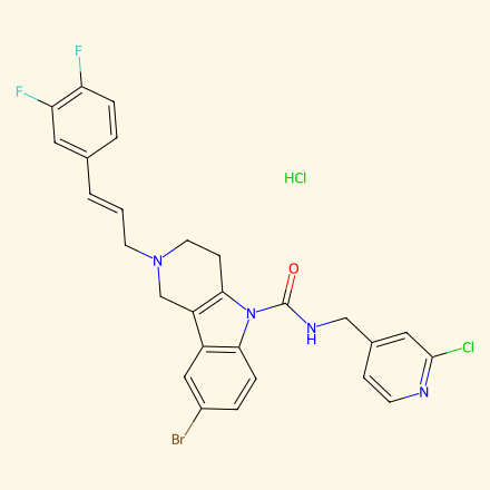 Cl.O=C(NCc1ccnc(Cl)c1)n1c2c(c3cc(Br)ccc31)CN(C/C=C/c1ccc(F)c(F)c1)CC2